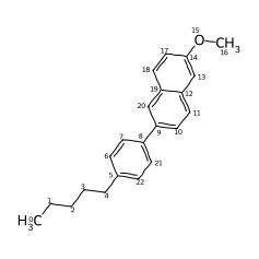 CCCCCc1ccc(-c2ccc3cc(OC)ccc3c2)cc1